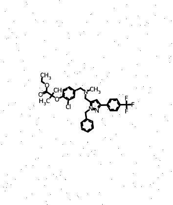 CCOC(=O)C(C)(C)Oc1ccc(CN(C)Cc2cc(-c3ccc(C(F)(F)F)cc3)nn2Cc2ccccc2)cc1Cl